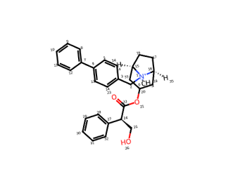 C[N+]1(Cc2ccc(-c3ccccc3)cc2)[C@@H]2CC[C@H]1CC(OC(=O)[C@@H](CO)c1ccccc1)C2